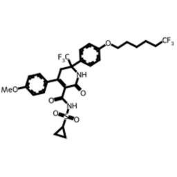 COc1ccc(C2=C(C(=O)NS(=O)(=O)C3CC3)C(=O)NC(c3ccc(OCCCCCC(F)(F)F)cc3)(C(F)(F)F)C2)cc1